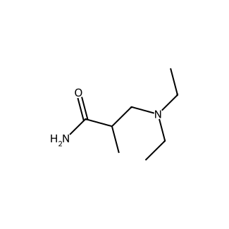 CCN(CC)CC(C)C(N)=O